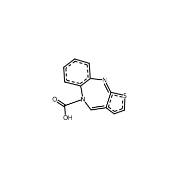 O=C(O)N1C=c2ccsc2=Nc2ccccc21